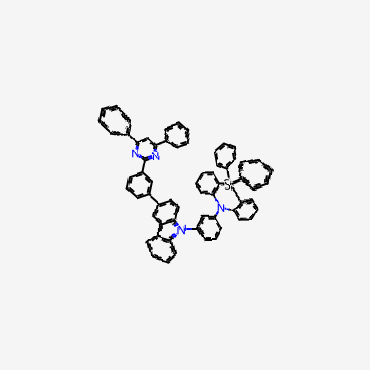 c1ccc(-c2cc(-c3ccccc3)nc(-c3cccc(-c4ccc5c(c4)c4ccccc4n5-c4cccc(N5c6ccccc6[Si](c6ccccc6)(c6ccccc6)c6ccccc65)c4)c3)n2)cc1